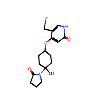 CC1(N2CCCC2=O)CCC(Oc2cc(=O)[nH]cc2CBr)CC1